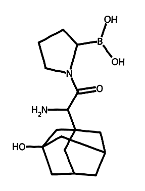 NC(C(=O)N1CCCC1B(O)O)C12CC3CC(CC(O)(C3)C1)C2